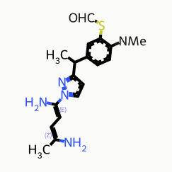 CNc1ccc(C(C)c2ccn(/C(N)=C/C=C(/C)N)n2)cc1SC=O